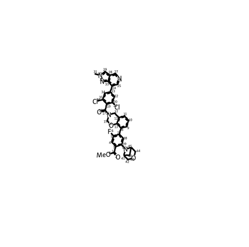 COC(=O)c1cc(F)c(-c2cccc3c2OCN(C(=O)c2c(Cl)cc(-c4cncc5cn(C)nc45)cc2Cl)C3)cc1N1C2COCC1C2